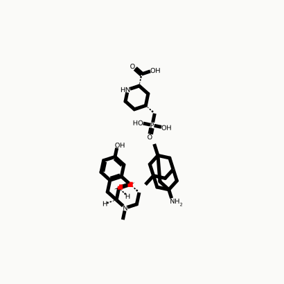 CC12CC3CC(C)(C1)CC(N)(C3)C2.CN1CC[C@@]23CCCC[C@@H]2[C@@H]1Cc1ccc(O)cc13.O=C(O)[C@@H]1C[C@H](CP(=O)(O)O)CCN1